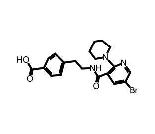 O=C(O)c1ccc(CCNC(=O)c2cc(Br)cnc2N2CCCCC2)cc1